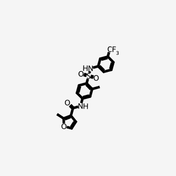 Cc1cc(NC(=O)c2ccoc2C)ccc1S(=O)(=O)Nc1cccc(C(F)(F)F)c1